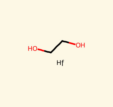 OCCO.[Hf]